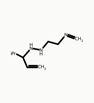 C=CC(NNCCN=C)C(C)C